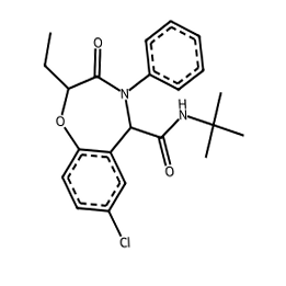 CCC1Oc2ccc(Cl)cc2C(C(=O)NC(C)(C)C)N(c2ccccc2)C1=O